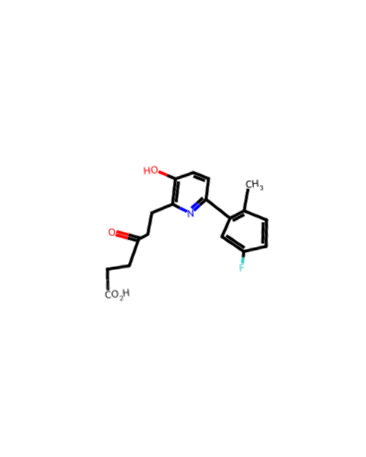 Cc1ccc(F)cc1-c1ccc(O)c(CCC(=O)CCC(=O)O)n1